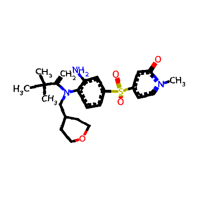 C=C(N(CC1CCOCC1)c1ccc(S(=O)(=O)c2ccn(C)c(=O)c2)cc1N)C(C)(C)C